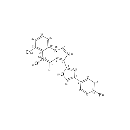 Cc1c2c(-c3nc(-c4ccc(F)cc4)no3)ncn2c2cccc(Cl)c2[n+]1[O-]